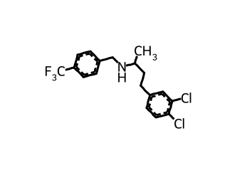 CC(CCc1ccc(Cl)c(Cl)c1)NCc1ccc(C(F)(F)F)cc1